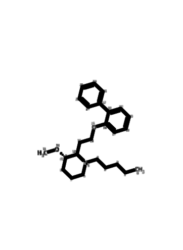 CCCCCN1CCC[C@H](OC)C1CCOc1ccccc1-c1ccccc1